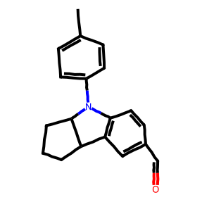 Cc1ccc(N2c3ccc(C=O)cc3C3CCCC32)cc1